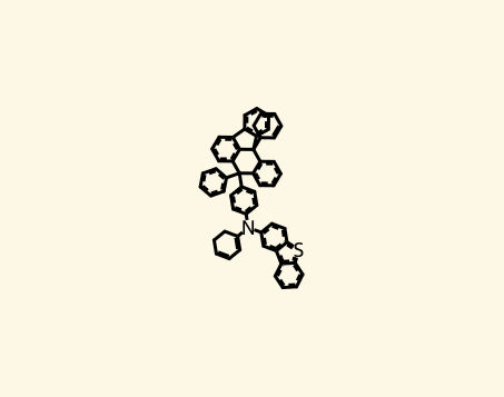 C1=CCCC(N(c2ccc(C3(c4ccccc4)c4ccccc4C4(C5C=CC=CC5)c5ccccc5-c5cccc3c54)cc2)c2ccc3sc4ccccc4c3c2)=C1